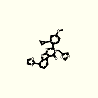 COc1ccc(-c2nc3sc4c(-c5ncco5)cccc4c3c(=O)n2Cc2cnco2)c(C2CC2)c1